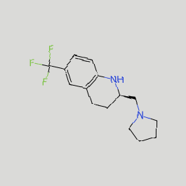 FC(F)(F)c1ccc2c(c1)CC[C@H](CN1CCCC1)N2